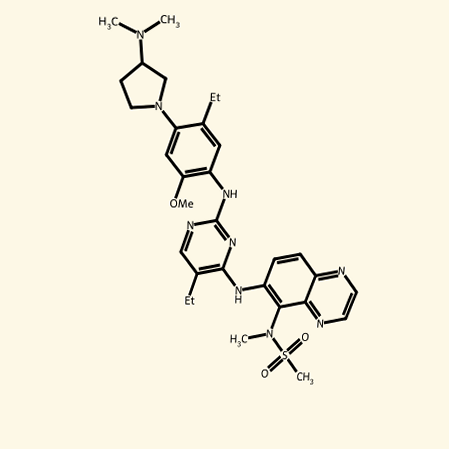 CCc1cc(Nc2ncc(CC)c(Nc3ccc4nccnc4c3N(C)S(C)(=O)=O)n2)c(OC)cc1N1CCC(N(C)C)C1